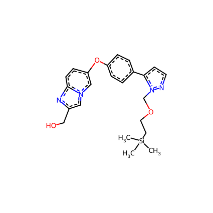 C[Si](C)(C)CCOCn1nccc1-c1ccc(Oc2ccc3nc(CO)cn3c2)cc1